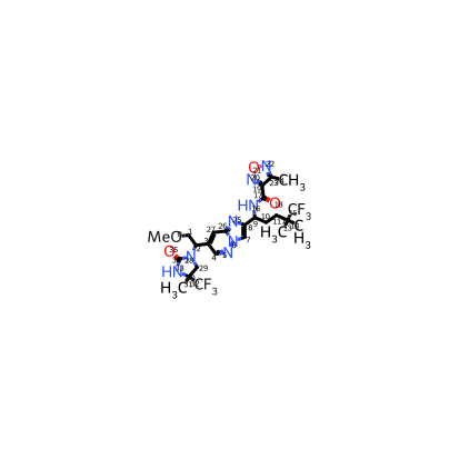 COCC(c1cnn2cc(C(CCC(C)(C)C(F)(F)F)NC(=O)c3nonc3C)nc2c1)N1CC(C)(C(F)(F)F)NC1=O